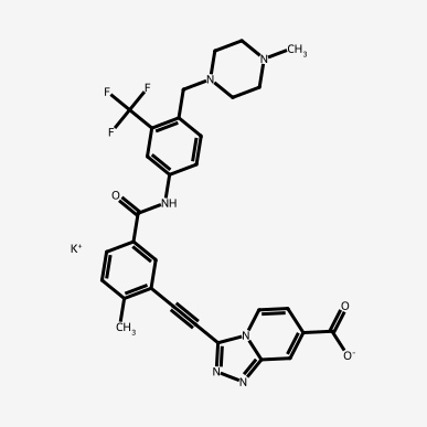 Cc1ccc(C(=O)Nc2ccc(CN3CCN(C)CC3)c(C(F)(F)F)c2)cc1C#Cc1nnc2cc(C(=O)[O-])ccn12.[K+]